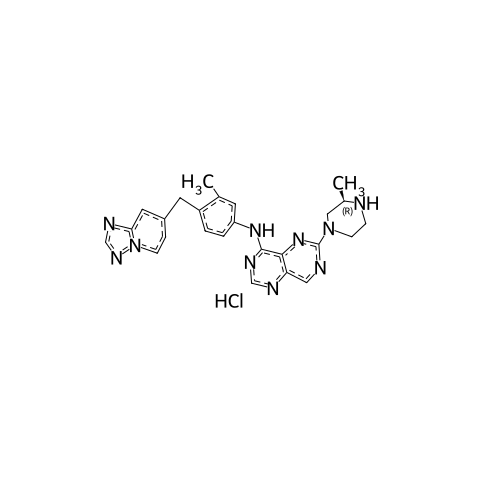 Cc1cc(Nc2ncnc3cnc(N4CCN[C@H](C)C4)nc23)ccc1Cc1ccn2ncnc2c1.Cl